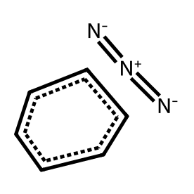 [N-]=[N+]=[N-].c1ccccc1